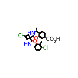 Cc1c(Cl)cccc1OC(=N)C1(C(=O)N[C@@H](C)c2ccc(C(=O)O)cc2)C=C(Cl)C1